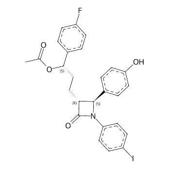 CC(=O)O[C@@H](CC[C@H]1C(=O)N(c2ccc(I)cc2)[C@@H]1c1ccc(O)cc1)c1ccc(F)cc1